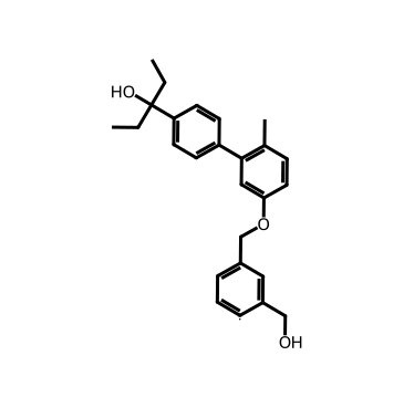 CCC(O)(CC)c1ccc(-c2cc(OCc3cc[c]c(CO)c3)ccc2C)cc1